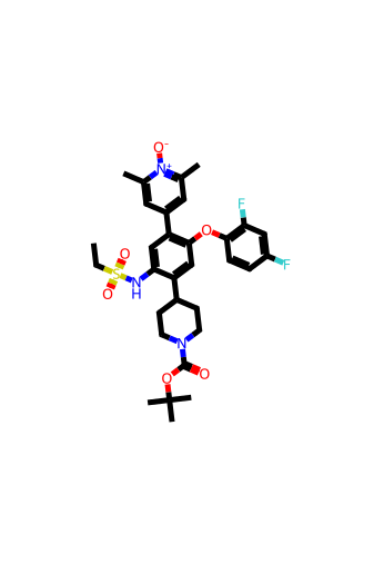 CCS(=O)(=O)Nc1cc(-c2cc(C)[n+]([O-])c(C)c2)c(Oc2ccc(F)cc2F)cc1C1CCN(C(=O)OC(C)(C)C)CC1